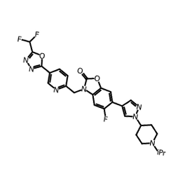 CC(C)N1CCC(n2cc(-c3cc4oc(=O)n(Cc5ccc(-c6nnc(C(F)F)o6)cn5)c4cc3F)cn2)CC1